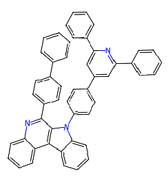 c1ccc(-c2ccc(-c3nc4ccccc4c4c5ccccc5n(-c5ccc(-c6cc(-c7ccccc7)nc(-c7ccccc7)c6)cc5)c34)cc2)cc1